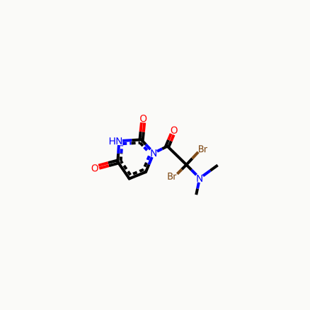 CN(C)C(Br)(Br)C(=O)n1ccc(=O)[nH]c1=O